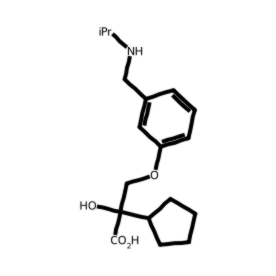 CC(C)NCc1cccc(OCC(O)(C(=O)O)C2CCCC2)c1